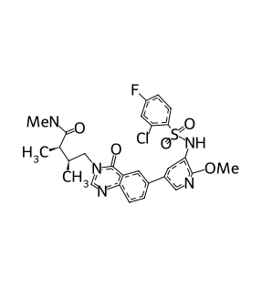 CNC(=O)[C@H](C)[C@H](C)Cn1cnc2ccc(-c3cnc(OC)c(NS(=O)(=O)c4ccc(F)cc4Cl)c3)cc2c1=O